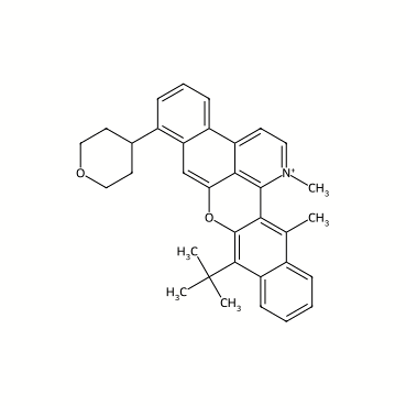 Cc1c2c(c(C(C)(C)C)c3ccccc13)Oc1cc3c(C4CCOCC4)cccc3c3cc[n+](C)c-2c13